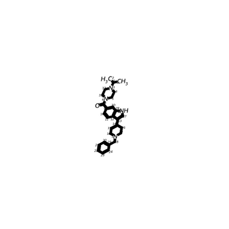 CC(C)N1CCN(C(=O)c2ccc3c(C4=CCN(Cc5ccccc5)CC4)c[nH]c3c2)CC1